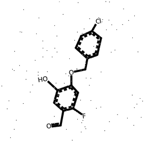 O=Cc1cc(O)c(OCc2ccc(Cl)cc2)cc1F